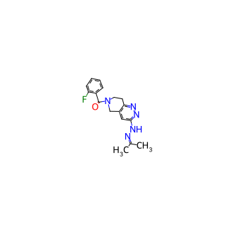 CC(C)=NNc1cc2c(nn1)CCN(C(=O)c1ccccc1F)C2